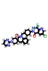 O=C(NC1CCC(CN2C(=O)C3(CCN(c4ncccn4)CC3)Cc3ccccc32)CC1)c1cc(Cl)cnc1C(F)F